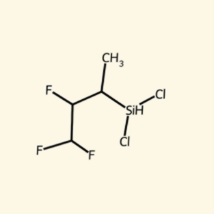 CC(C(F)C(F)F)[SiH](Cl)Cl